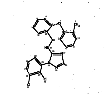 Cc1ncccc1Oc1ncccc1CNc1nnnn1-c1cccc(Cl)c1Cl